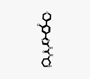 O=C(Nc1csc(-c2ccc(C3=CCOCC3)c(Cl)c2)n1)NC1CCCNC1